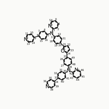 c1ccc(N(c2ccc(-c3ccncc3)cc2)c2ccc(-c3ccc(-c4ccc(N(c5ccc(-c6ccncc6)cc5)c5ccccn5)cc4)o3)cc2)nc1